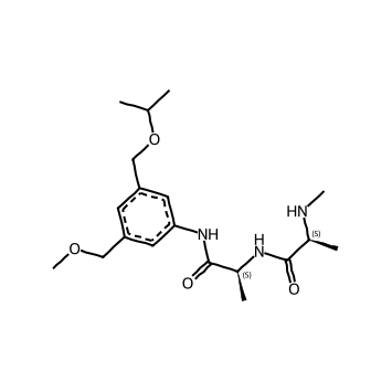 CN[C@@H](C)C(=O)N[C@@H](C)C(=O)Nc1cc(COC)cc(COC(C)C)c1